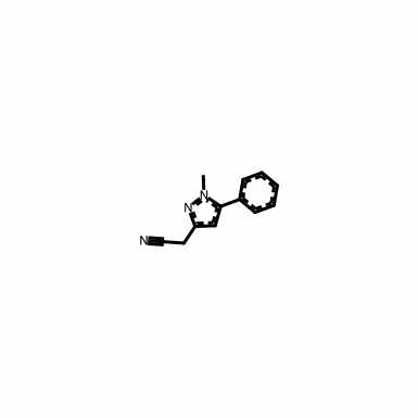 Cn1nc(CC#N)cc1-c1ccccc1